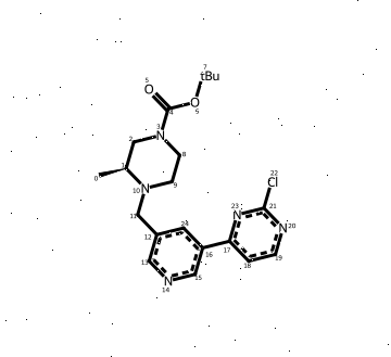 C[C@H]1CN(C(=O)OC(C)(C)C)CCN1Cc1cncc(-c2ccnc(Cl)n2)c1